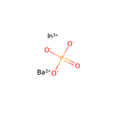 O=P([O-])([O-])[O-].[Ba+2].[In+3]